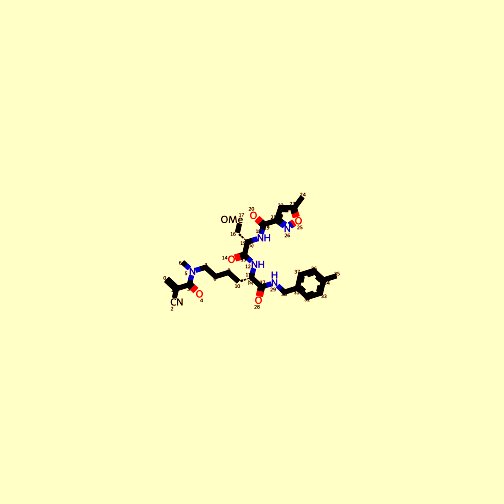 C=C(C#N)C(=O)N(C)CCCC[C@H](NC(=O)[C@H](COC)NC(=O)c1cc(C)on1)C(=O)NCc1ccc(C)cc1